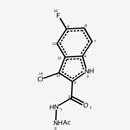 CC(=O)NNC(=O)c1[nH]c2ccc(F)cc2c1Cl